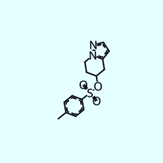 Cc1ccc(S(=O)(=O)OC2CCn3nccc3C2)cc1